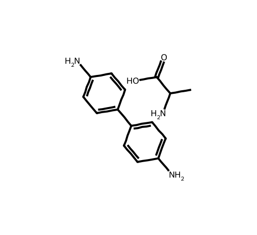 CC(N)C(=O)O.Nc1ccc(-c2ccc(N)cc2)cc1